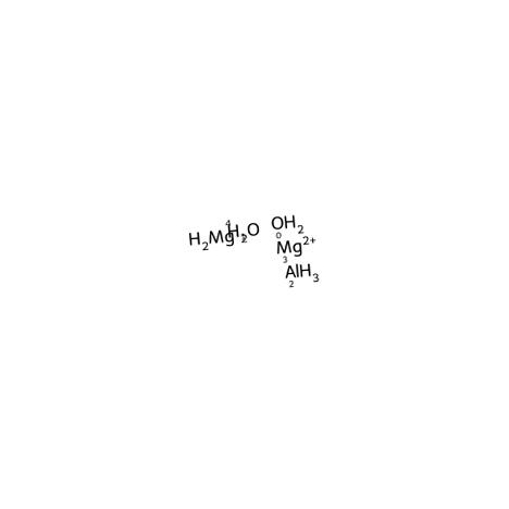 O.O.[AlH3].[Mg+2].[MgH2]